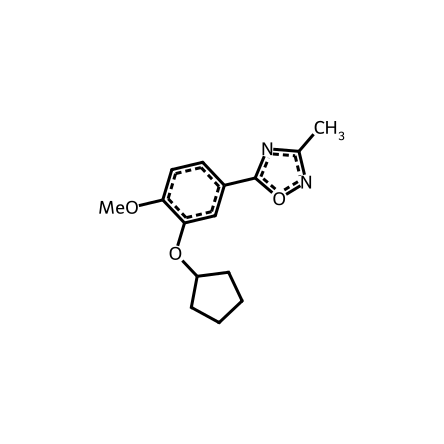 COc1ccc(-c2nc(C)no2)cc1OC1CCCC1